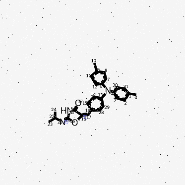 Cc1ccc(N(c2ccc(C)cc2)c2ccc(/C=C3/O/C(=N/C(C)C)NC3=O)cc2)cc1